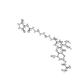 CC(C)C(=O)[C@H](CCCNC(N)=O)NC(=O)[C@@H](NC(=S)NCCOCCOCCC(=O)ON1C(=O)CCC1=O)C(C)C